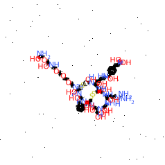 NC(N)NCCC[C@@H]1N[C@@H](O)[C@@H]2CSSC[C@H](N[C@H](O)[C@H](CC(O)O)N[C@@H](O)CN[C@@H]1O)[C@H](O)N[C@@H](Cc1ccccc1)[C@@H](O)N[C@H]([C@H](O)NCCOCCOCCOCCN[C@H](O)COC[C@@H](N)O)CSC[C@H](O)N[C@@H](CCCCN[C@@H](O)c1ccc(/C=C/N(O)O)cc1)[C@@H](O)N2